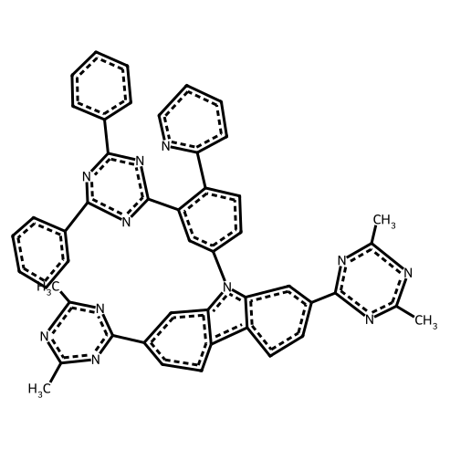 Cc1nc(C)nc(-c2ccc3c4ccc(-c5nc(C)nc(C)n5)cc4n(-c4ccc(-c5ccccn5)c(-c5nc(-c6ccccc6)nc(-c6ccccc6)n5)c4)c3c2)n1